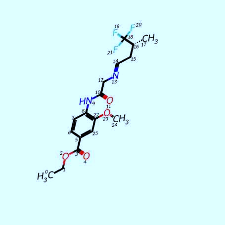 CCOC(=O)c1ccc(NC(=O)C/N=C/C[C@@H](C)C(F)(F)F)c(OC)c1